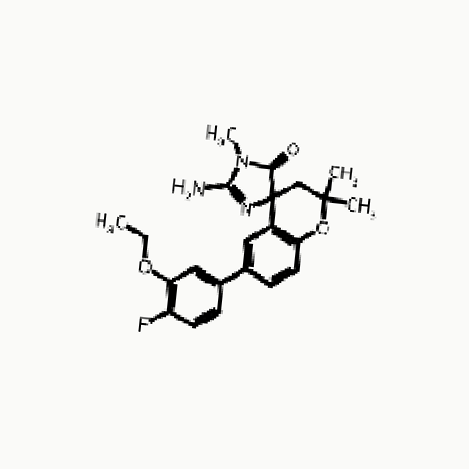 CCOc1cc(-c2ccc3c(c2)C2(CC(C)(C)O3)N=C(N)N(C)C2=O)ccc1F